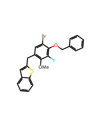 COc1c(Cc2cc3ccccc3s2)cc(Br)c(OCc2ccccc2)c1F